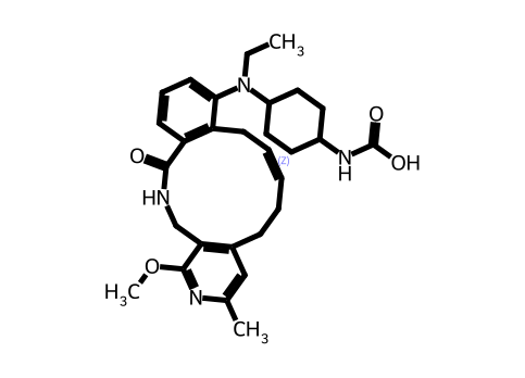 CCN(c1cccc2c1C/C=C\CCc1cc(C)nc(OC)c1CNC2=O)C1CCC(NC(=O)O)CC1